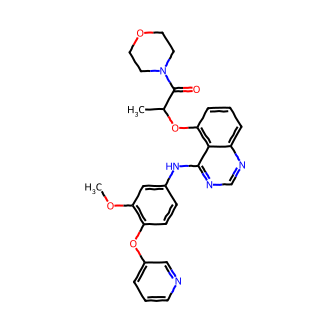 COc1cc(Nc2ncnc3cccc(OC(C)C(=O)N4CCOCC4)c23)ccc1Oc1cccnc1